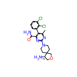 Cc1nc(N2CCC3(CC2)COC[C@H]3N)nc(C(N)=O)c1-c1cccc(Cl)c1Cl